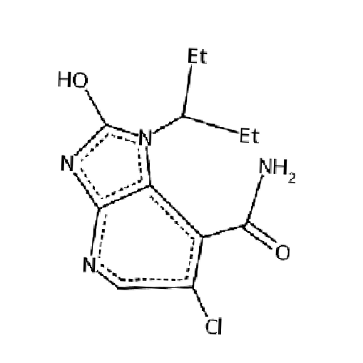 CCC(CC)n1c(O)nc2ncc(Cl)c(C(N)=O)c21